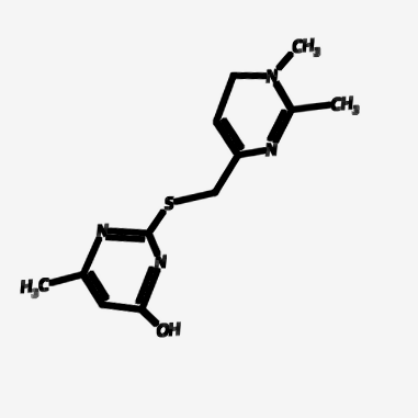 CC1=NC(CSc2nc(C)cc(O)n2)=CCN1C